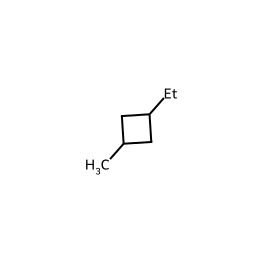 CCC1CC(C)C1